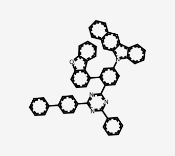 c1ccc(-c2ccc(-c3nc(-c4ccccc4)nc(-c4ccc(-n5c6ccccc6c6cc7ccccc7cc65)cc4-c4cccc5oc6ccccc6c45)n3)cc2)cc1